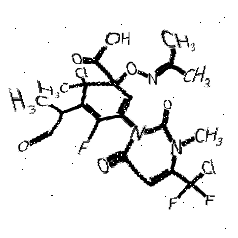 CC(C)=NOC1(C(=O)O)C=C(n2c(=O)cc(C(F)(F)Cl)n(C)c2=O)C(F)=C(C(C)C=O)C1(C)Cl